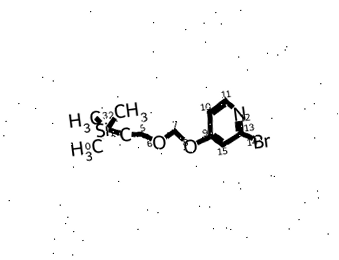 C[Si](C)(C)CCOCOc1ccnc(Br)c1